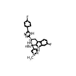 CCCCC1(c2cnn(C)c2)N[C@@H](c2nnc(-c3ccc(F)cc3)[nH]2)Cc2c1[nH]c1cc(F)ccc21